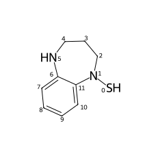 SN1CCCNc2ccccc21